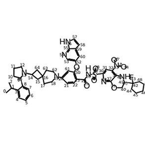 CC(C)c1ccccc1[C@H]1CCCN1C1CC2(CCN(c3ccc(C(=O)NS(=O)(=O)c4cc([N+](=O)[O-])c5c(n4)OC[C@H](C4(F)CCCCC4)N5)c(Oc4cnc5[nH]ccc5c4)c3)CC2)C1